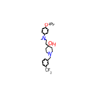 CC(C)Oc1ccc(N(C)CCC2(O)CCN(Cc3cccc(C(F)(F)F)c3)CC2)cc1